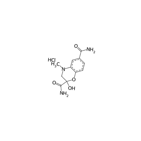 CN1CC(O)(C(N)=O)Oc2ccc(C(N)=O)cc21.Cl